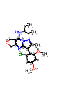 CCC(CC)Nc1c2c(nc3c(-c4c(Cl)cc(OC)cc4OC)c(C)nn13)COC2